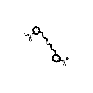 O=[N+]([O-])c1cccc(CCCOCCCc2cccc([N+](=O)[O-])c2)c1